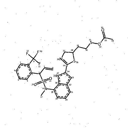 C=CC(c1ccccc1C(F)(F)F)S(=O)(=O)N(C)c1cccc2cc(C3=NCC(CCSOC(C)=O)S3)[nH]c12